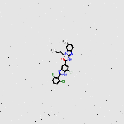 CCCCn1c(NC(=O)c2cc(Cl)c3[nH]c(-c4c(F)cccc4Cl)nc3c2)nc2ccc(C)cc21